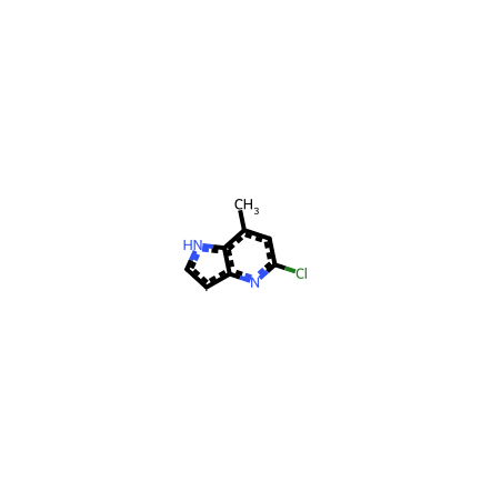 Cc1cc(Cl)nc2[c]c[nH]c12